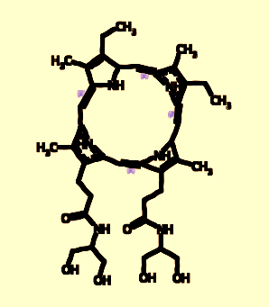 CCC1=C(C)/C2=C/c3[nH]c(c(CCC(=O)NC(CO)CO)c3C)/C=C3\NC(/C=c4\[nH]/c(c(C)c4CC)=C\C1N2)C(C)=C3CCC(=O)NC(CO)CO